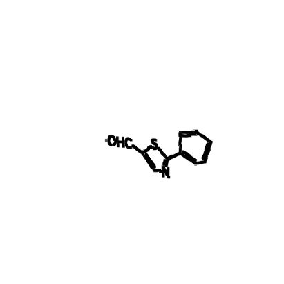 O=[C]c1cnc(-c2ccccc2)s1